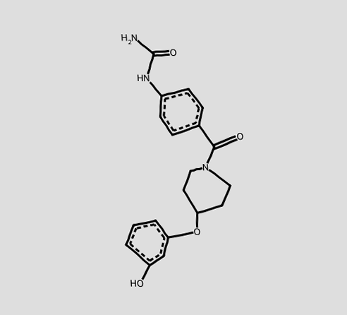 NC(=O)Nc1ccc(C(=O)N2CCC(Oc3cccc(O)c3)CC2)cc1